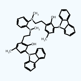 Cc1cc(CCN(C)c2ccccc2N(C)CCc2cc(C)cc(-n3c4ccccc4c4ccccc43)c2O)c(O)c(-n2c3ccccc3c3ccccc32)c1